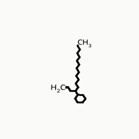 C=CCC(CCCCCCCCCCCCC)C1CCCCC1